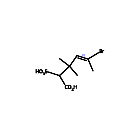 C/C(Br)=C\C(C)(C)C(C(=O)O)S(=O)(=O)O